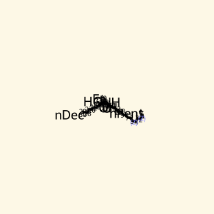 CCCCC/C=C\C/C=C\CCCCCCCCCC(=O)N[C@@H](CC)[C@H](O)[C@H](O)CCCCCCCCCCCCCCCC